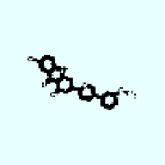 O=C1CC(c2ccc(-c3cccc(OC(F)(F)F)c3)cn2)Cc2[nH]c3ccc(Cl)cc3c(=O)c21